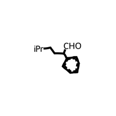 CC(C)CCC(C=O)c1ccccc1